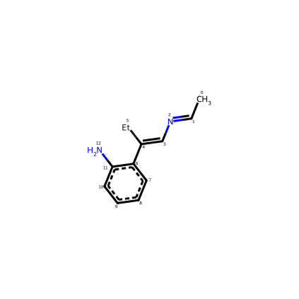 C/C=N/C=C(\CC)c1ccccc1N